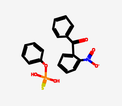 O=C(c1ccccc1)c1ccccc1[N+](=O)[O-].OP(O)(=S)Oc1ccccc1